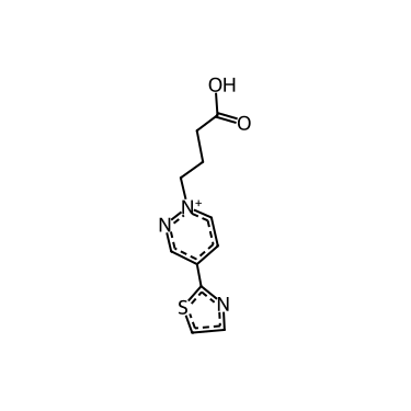 O=C(O)CCC[n+]1ccc(-c2nccs2)cn1